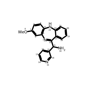 COc1ccc2c(c1)N=C(C(N)c1cccnc1)c1ccccc1N2